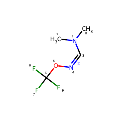 CN(C)/C=N\OC(F)(F)F